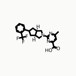 Cc1cc(C(=O)O)nc(N2C[C@H]3CC(c4ccccc4C(F)(F)F)C[C@H]3C2)n1